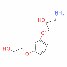 NCC(O)COc1cccc(OCCO)c1